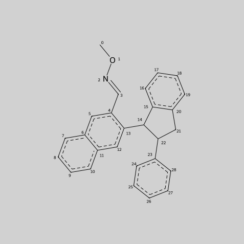 CON=Cc1cc2ccccc2cc1C1c2ccccc2CC1c1ccccc1